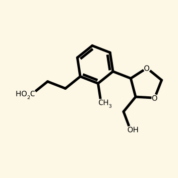 Cc1c(CCC(=O)O)cccc1C1OCOC1CO